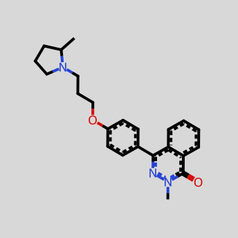 CC1CCCN1CCCOc1ccc(-c2nn(C)c(=O)c3ccccc23)cc1